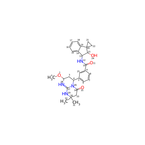 COCCC(c1cccc(C(=O)NC2c3ccccc3C3(CC3)C2O)c1)N1C(=N)NC(C)(C)CC1=O